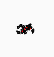 C=Cc1ccc(Oc2ccc(C3(c4c(F)cc(F)c(F)c4F)c4ccccc4-c4ccc(N(c5ccc(-c6cccc(-c7ccccc7)c6)cc5)c5ccc6c(c5)C(c5ccc(Oc7ccc(C=C)cc7)cc5)(c5c(F)cc(F)c(F)c5F)c5ccccc5-6)cc43)cc2)cc1